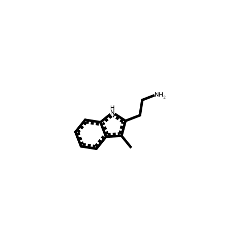 Cc1c(CCN)[nH]c2ccccc12